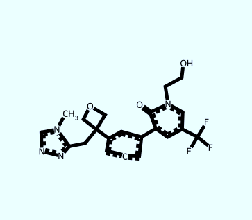 Cn1cnnc1CC1(c2cccc(-c3cc(C(F)(F)F)cn(CCO)c3=O)c2)COC1